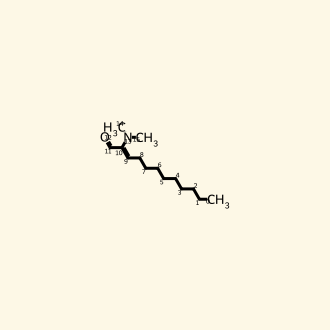 CCCCCCCCC/C=C(/C=O)N(C)C